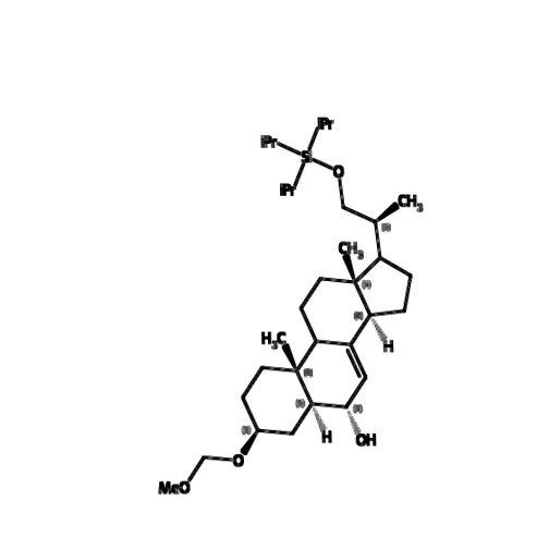 COCO[C@H]1CC[C@]2(C)C3CC[C@]4(C)C([C@H](C)CO[Si](C(C)C)(C(C)C)C(C)C)CC[C@H]4C3=C[C@H](O)[C@H]2C1